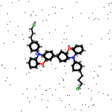 ClCCCc1ccc(N2c3ccccc3Oc3cc(-c4ccc5c(c4)Oc4ccccc4N5c4ccc(CCCCl)cc4)ccc32)cc1